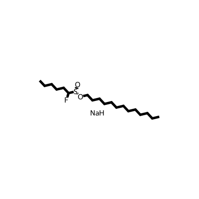 CCCCCCCCCCCCCOS(=O)C(F)CCCCC.[NaH]